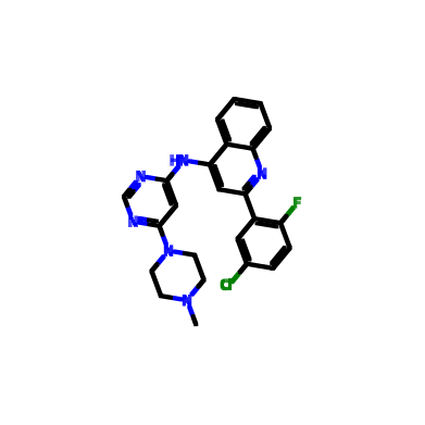 CN1CCN(c2cc(Nc3cc(-c4cc(Cl)ccc4F)nc4ccccc34)ncn2)CC1